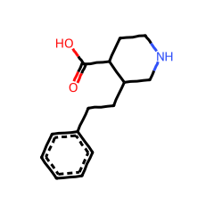 O=C(O)C1CCNCC1CCc1ccccc1